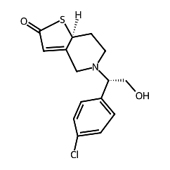 O=C1C=C2CN([C@H](CO)c3ccc(Cl)cc3)CC[C@@H]2S1